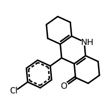 O=C1CCCC2=C1C(c1ccc(Cl)cc1)C1=C(CCCC1)N2